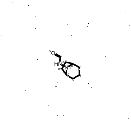 O=CNN1C2CCCC1CC2